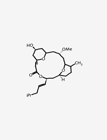 CO[C@H]1CC2C[C@H](O)C[C@@H](CC(=O)O[C@H](/C=C/CC(C)C)C[C@@H]3CCC(C)C(C1)O3)O2